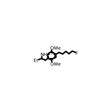 CCC(N)Cc1cc(OC)c(CCCCCF)cc1OC